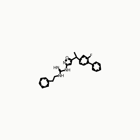 CC(c1ccc(-c2ccccc2)c(F)c1)c1cc(NC(=N)NCCc2ccccc2)no1